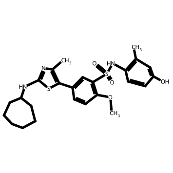 COc1ccc(-c2sc(NC3CCCCCC3)nc2C)cc1S(=O)(=O)Nc1ccc(O)cc1C